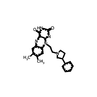 Cc1cc2nc3c(=O)[nH]c(=O)nc-3n(CCN3CCC(c4ccccc4)C3)c2cc1C